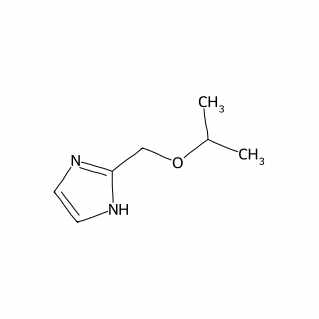 CC(C)OCc1ncc[nH]1